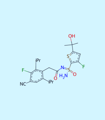 CC(C)c1cc(C#N)c(F)c(C(C)C)c1CC(=O)N=[S@](N)(=O)c1sc(C(C)(C)O)cc1F